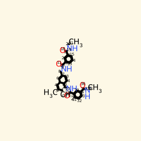 C=C/C(C)=C\C1C=C(CNC(=O)c2cccc(C(=O)NCC)c2)C=CC1CNC(=O)c1cccc(C(=O)NC)c1